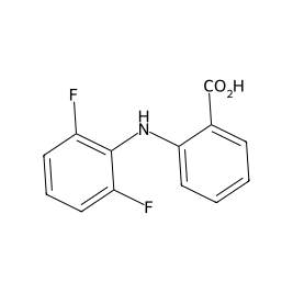 O=C(O)c1ccccc1Nc1c(F)cccc1F